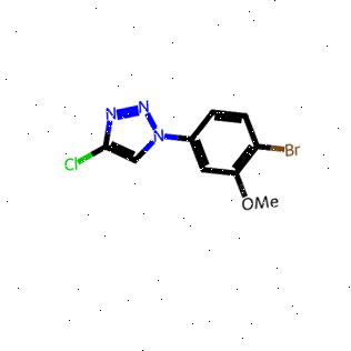 COc1cc(-n2cc(Cl)nn2)ccc1Br